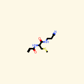 C=CC(=O)NC(CSC)C(=O)NCCC#N